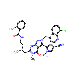 CC(CCNC(=O)c1ccccc1O)Cc1nc2nn(Cc3ccnc4c(Cl)cccc34)c(-c3cc(C#N)cn3C)c2c(=O)n1C